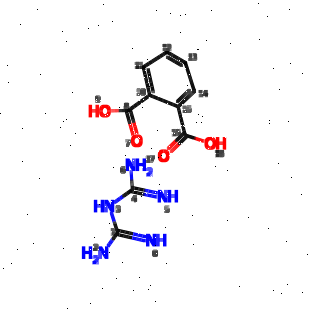 N=C(N)NC(=N)N.O=C(O)c1ccccc1C(=O)O